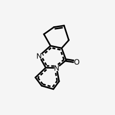 O=c1c2c(nc3ccccn13)CC=CC2